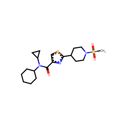 CS(=O)(=O)N1CCC(c2nc(C(=O)N(C3CCCCC3)C3CC3)cs2)CC1